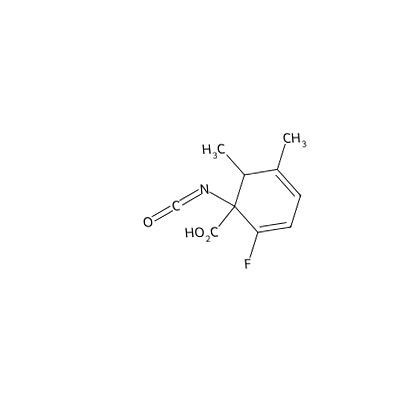 CC1=CC=C(F)C(N=C=O)(C(=O)O)C1C